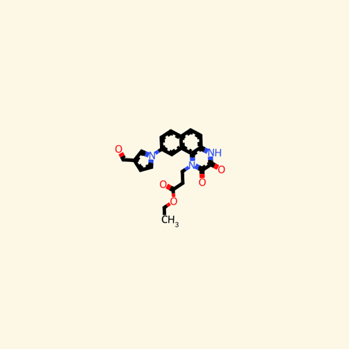 CCOC(=O)CCn1c(=O)c(=O)[nH]c2ccc3ccc(-n4ccc(C=O)c4)cc3c21